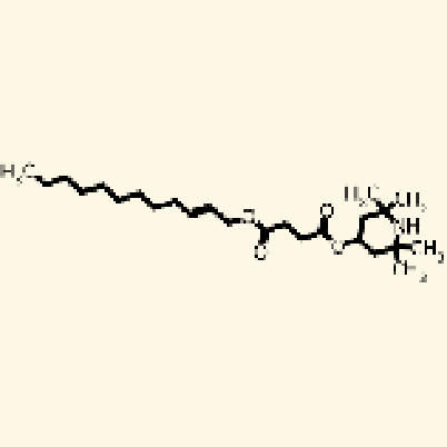 CCCCCCCCCC=CCOC(=O)CCC(=O)OC1CC(C)(C)NC(C)(C)C1